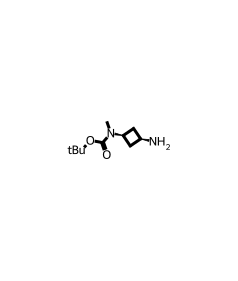 CN(C(=O)OC(C)(C)C)[C@H]1C[C@@H](N)C1